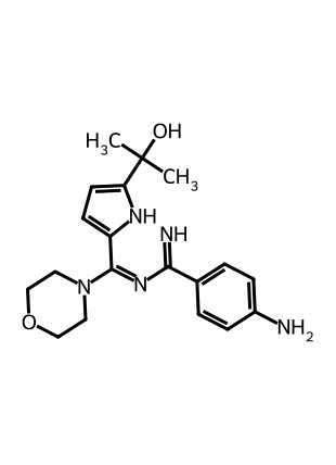 CC(C)(O)c1ccc(/C(=N\C(=N)c2ccc(N)cc2)N2CCOCC2)[nH]1